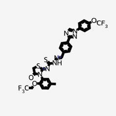 Cc1ccc(OCC(F)(F)F)c(N2C(=O)CS/C2=N\C(=S)N/N=C/c2ccc(-c3ncn(-c4ccc(OC(F)(F)F)cc4)n3)cc2)c1